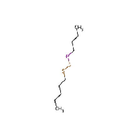 CCCCCSS[P]CCCC